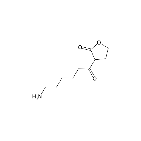 NCCCCCC(=O)C1CCOC1=O